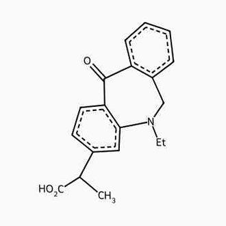 CCN1Cc2ccccc2C(=O)c2ccc(C(C)C(=O)O)cc21